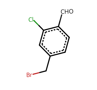 O=Cc1ccc(CBr)cc1Cl